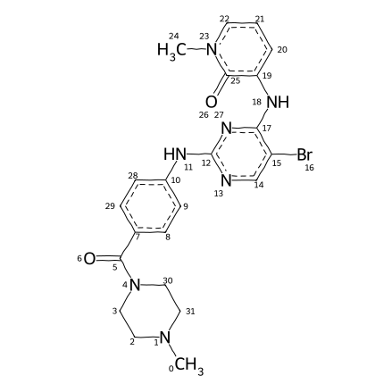 CN1CCN(C(=O)c2ccc(Nc3ncc(Br)c(Nc4cccn(C)c4=O)n3)cc2)CC1